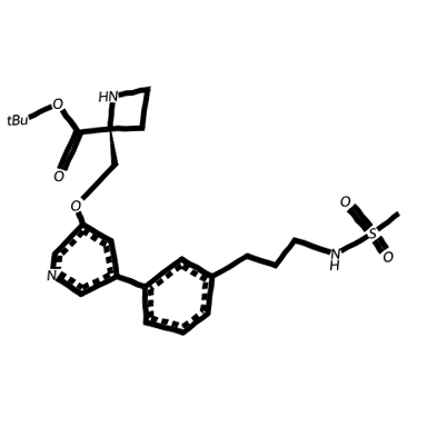 CC(C)(C)OC(=O)[C@@]1(COc2cncc(-c3cccc(CCCNS(C)(=O)=O)c3)c2)CCN1